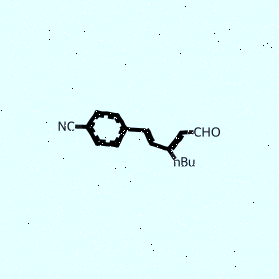 CCCCC(C=Cc1ccc(C#N)cc1)=CC=O